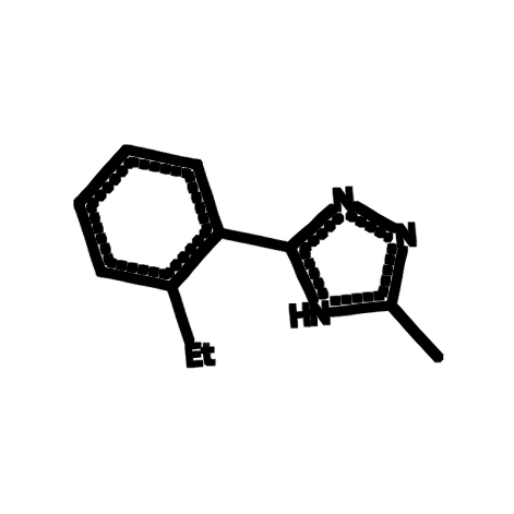 CCc1ccccc1-c1nnc(C)[nH]1